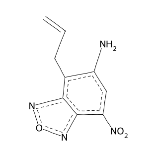 C=CCc1c(N)cc([N+](=O)[O-])c2nonc12